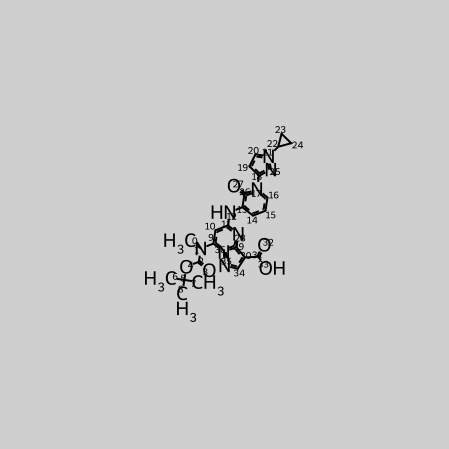 CN(C(=O)OC(C)(C)C)c1cc(Nc2cccn(-c3ccn(C4CC4)n3)c2=O)nc2c(C(=O)O)cnn12